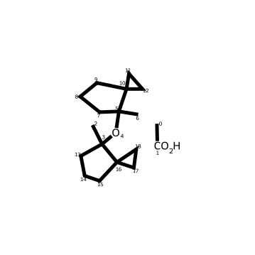 CC(=O)O.CC1(OC2(C)CCCC23CC3)CCCC12CC2